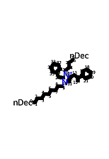 CCCCCCCCCCCCCCCCCCCn1cc(CC(C)c2ccccc2)[n+](CCCCCCCCCCCCCC)c1Cc1ccccc1